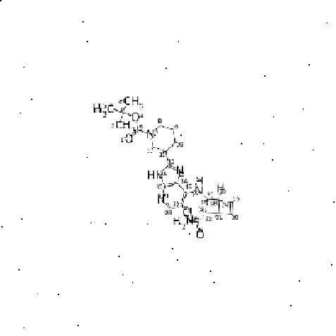 CC(C)(C)OC(=O)N1CCCC(c2nc3c(N[C@@H]4[C@H]5C=CC5[C@@H]4C(N)=O)c(Cl)cnc3[nH]2)C1